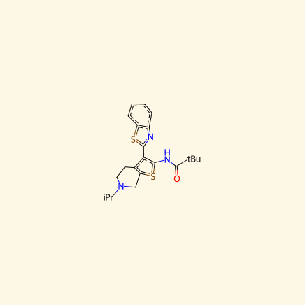 CC(C)N1CCc2c(sc(NC(=O)C(C)(C)C)c2-c2nc3ccccc3s2)C1